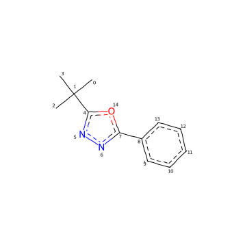 CC(C)(C)c1nnc(-c2[c]cccc2)o1